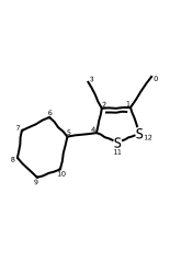 CC1=C(C)C(C2CCCCC2)SS1